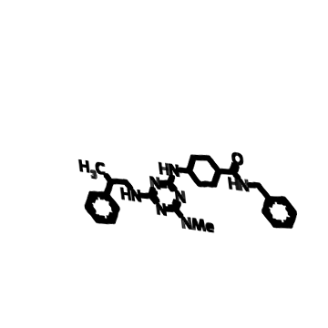 CNc1nc(NCC(C)c2ccccc2)nc(NC2CCC(C(=O)NCc3ccccc3)CC2)n1